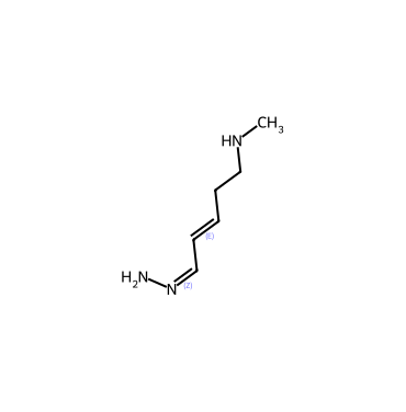 CNCC/C=C/C=N\N